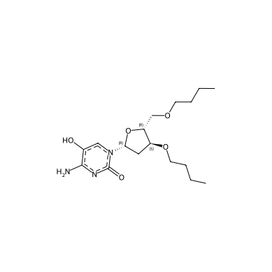 CCCCOC[C@H]1O[C@@H](n2cc(O)c(N)nc2=O)C[C@@H]1OCCCC